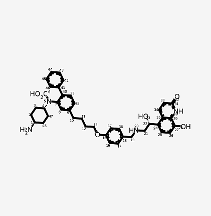 N[C@H]1CC[C@H](N(C(=O)O)c2cc(CCCCOc3ccc(CNC[C@H](O)c4ccc(O)c5[nH]c(=O)ccc45)cc3)ccc2-c2ccccc2)CC1